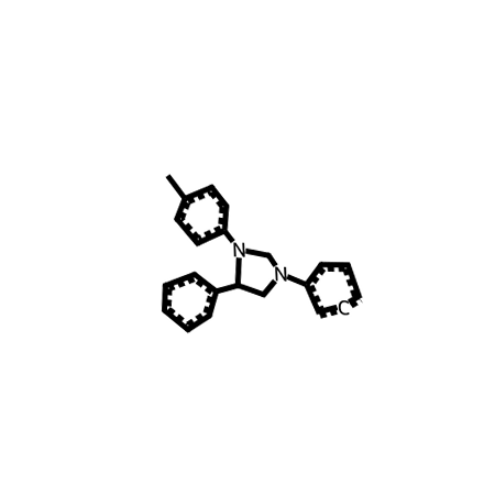 Cc1ccc(N2CN(c3ccccc3)CC2c2ccccc2)cc1